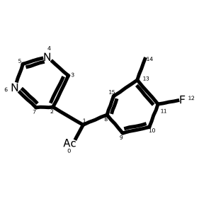 CC(=O)C(c1cncnc1)c1ccc(F)c(C)c1